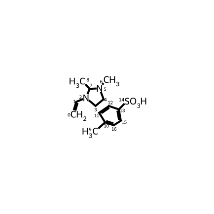 C=CN1CCN(C)C1C.Cc1ccc(S(=O)(=O)O)cc1